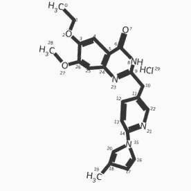 CCOc1cc2c(=O)[nH]c(Cc3ccc(-n4ccc(C)c4)nc3)nc2cc1OC.Cl